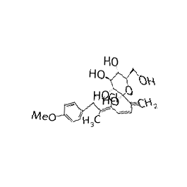 C=C(/C=C\C(Cl)=C(/C)Cc1ccc(OC)cc1)[C@]1(O)O[C@H](CO)[C@@H](O)[C@H](O)[C@H]1O